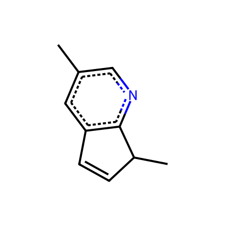 Cc1cnc2c(c1)C=CC2C